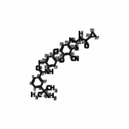 CC(C)(N)c1cccc(C(=O)Nc2cc(Oc3ccc4nc(NC(=O)C5CC5)sc4c3C#N)c(Cl)cc2F)c1